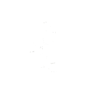 CC1(C)c2ccccc2-c2cc3c(cc21)c1ccccc1n3-c1ccc2oc3ccccc3c2c1